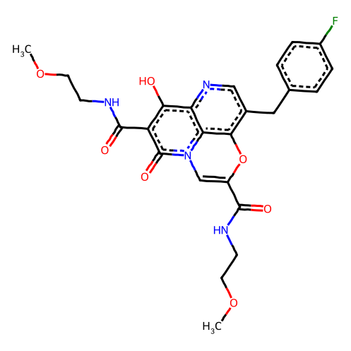 COCCNC(=O)C1=Cn2c(=O)c(C(=O)NCCOC)c(O)c3ncc(Cc4ccc(F)cc4)c(c32)O1